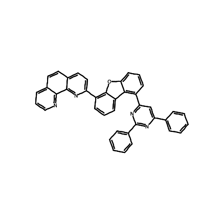 c1ccc(-c2cc(-c3cccc4oc5c(-c6ccc7ccc8cccnc8c7n6)cccc5c34)nc(-c3ccccc3)n2)cc1